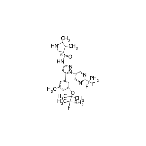 BC(C)(F)C(C)(C)Oc1cc(C)cc(-c2cc(NC(=O)[C@H]3CNC(=C)C3C)nn2-c2cnc(C(F)(F)P)nc2)c1